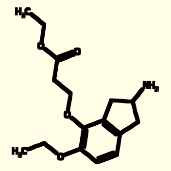 CCOC(=O)CCOc1c(OCC)ccc2c1CC(N)C2